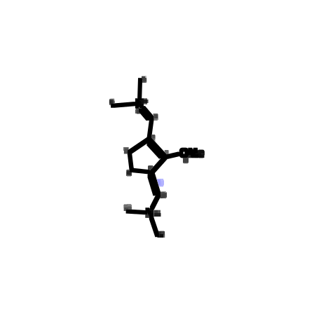 COC1=C(C=[N+](C)C)CC/C1=C\N(C)C